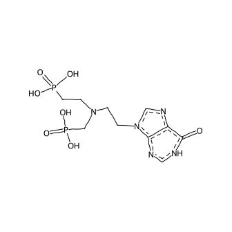 O=c1[nH]cnc2c1ncn2CCN(CCP(=O)(O)O)CP(=O)(O)O